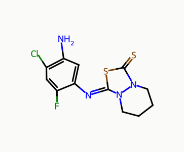 Nc1cc(N=c2sc(=S)n3n2CCCC3)c(F)cc1Cl